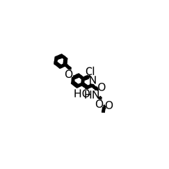 CC(=O)OCNC(=O)c1nc(Cl)c2cc(OCc3ccccc3)ccc2c1O